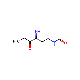 CCC(=O)C(=N)CCN[C]=O